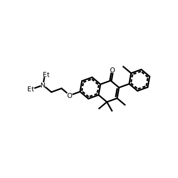 CCN(CC)CCOc1ccc2c(c1)C(C)(C)C(C)=C(c1ccccc1C)C2=O